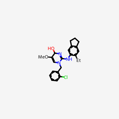 CCc1cc2c(cc1NC1=NC(O)C(OC)=CN1Cc1ccccc1Cl)CCC2